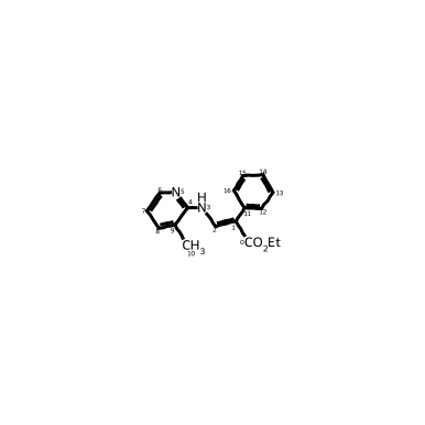 CCOC(=O)C(=CNc1ncccc1C)c1ccccc1